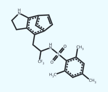 Cc1cc(C)c(S(=O)(=O)NC(Cc2c3cc(c4c2CCN4)C=C3)C(F)(F)F)c(C)c1